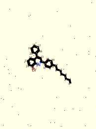 CCCCCCCCc1ccc(-c2cc(-c3ccccc3)c3cccc(Br)c3n2)cc1